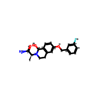 C[C@H](C(N)=O)N1CCc2cc(OCc3cccc(F)c3)ccc2C1O